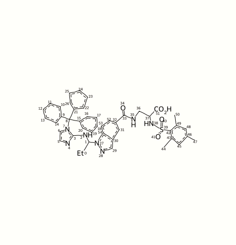 CCC(Nc1nccn1C(c1ccccc1)(c1ccccc1)c1ccccc1)n1ncc2cc(C(=O)NCC(NS(=O)(=O)c3c(C)cc(C)cc3C)C(=O)O)ccc21